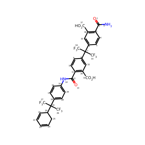 NC(=O)c1ccc(C(c2ccc(C(=O)Nc3ccc(C(C4C=CC=CC4)(C(F)(F)F)C(F)(F)F)cc3)c(C(=O)O)c2)(C(F)(F)F)C(F)(F)F)cc1C(=O)O